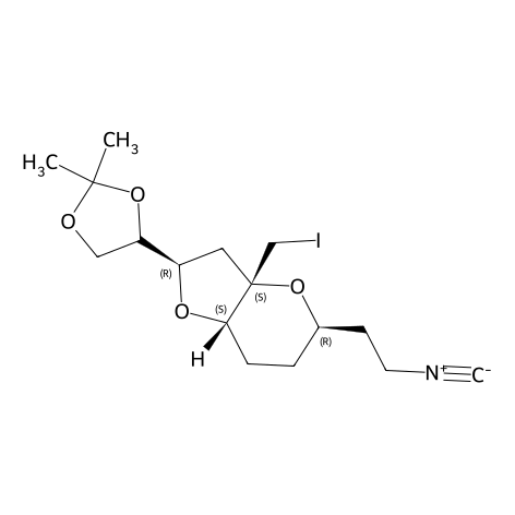 [C-]#[N+]CC[C@H]1CC[C@@H]2O[C@@H](C3COC(C)(C)O3)C[C@]2(CI)O1